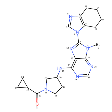 CCn1c(-n2cnc3c2CCCC3)nc2c(NC3CCN(C(=O)C4CC4)C3)ncnc21